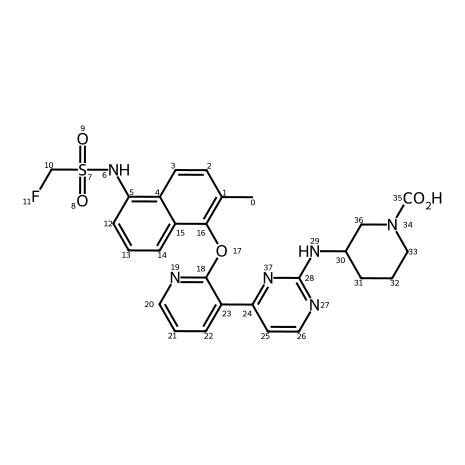 Cc1ccc2c(NS(=O)(=O)CF)cccc2c1Oc1ncccc1-c1ccnc(NC2CCCN(C(=O)O)C2)n1